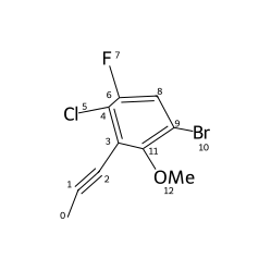 CC#Cc1c(Cl)c(F)cc(Br)c1OC